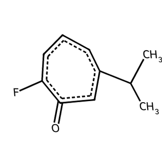 CC(C)c1cccc(F)c(=O)c1